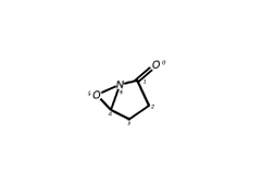 O=C1CCC2ON12